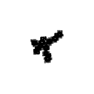 Cc1cc2c3c(c1)N(c1ccccc1)c1cc4c(cc1B3c1cc(-c3ccc5c(c3)sc3ccccc35)ccc1N2c1ccc(-c2ccc3c(c2)sc2ccccc23)cc1)OCO4